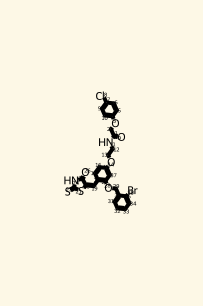 O=C(COc1ccc(Cl)cc1)NCCOc1ccc(C=C2SC(=S)NC2=O)c(OCc2ccccc2Br)c1